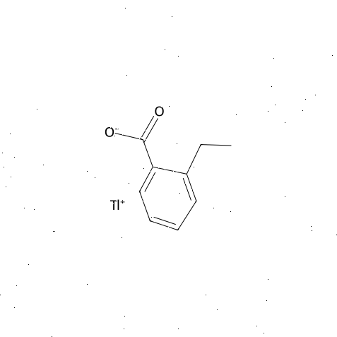 CCc1ccccc1C(=O)[O-].[Tl+]